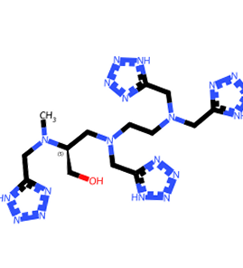 CN(Cc1nnn[nH]1)[C@H](CO)CN(CCN(Cc1nnn[nH]1)Cc1nnn[nH]1)Cc1nnn[nH]1